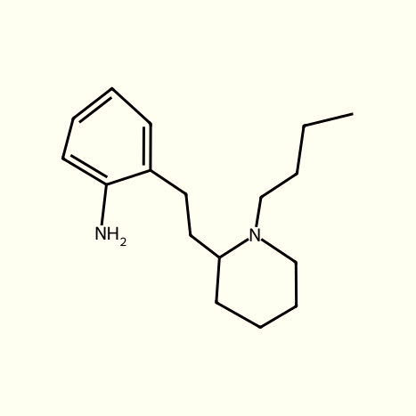 CCCCN1CCCCC1CCc1ccccc1N